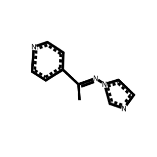 CC(=Nn1ccnc1)c1ccncc1